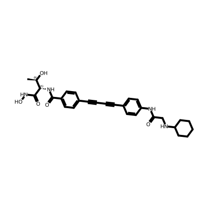 C[C@@H](O)[C@H](NC(=O)c1ccc(C#CC#Cc2ccc(NC(=O)CNC3CCCCC3)cc2)cc1)C(=O)NO